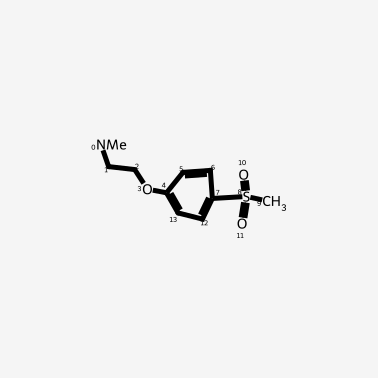 CNCCOc1ccc(S(C)(=O)=O)cc1